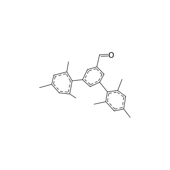 Cc1cc(C)c(-c2cc(C=O)cc(-c3c(C)cc(C)cc3C)c2)c(C)c1